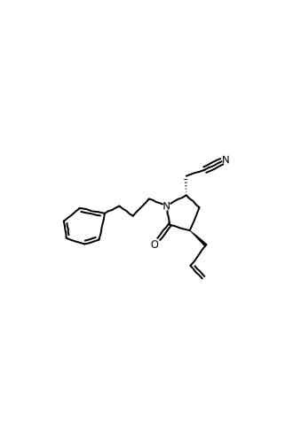 C=CC[C@@H]1C[C@@H](CC#N)N(CCCc2ccccc2)C1=O